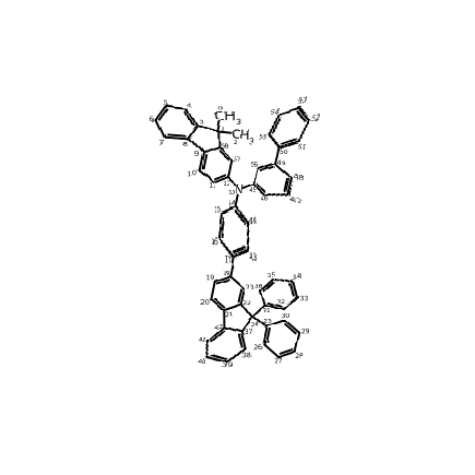 CC1(C)c2ccccc2-c2ccc(N(c3ccc(-c4ccc5c(c4)C(c4ccccc4)(c4ccccc4)c4ccccc4-5)cc3)c3cccc(-c4ccccc4)c3)cc21